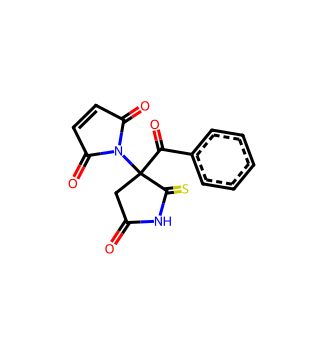 O=C1CC(C(=O)c2ccccc2)(N2C(=O)C=CC2=O)C(=S)N1